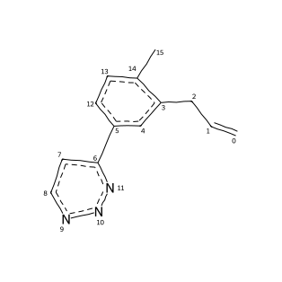 C=CCc1cc(-c2ccnnn2)ccc1C